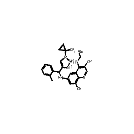 Cc1ccccc1[C@H](Nc1cc(C#N)c2ncc(C#N)c(NCC(C)(C)C)c2c1)C1=CN(C2(C(F)(F)F)CC2)NN1